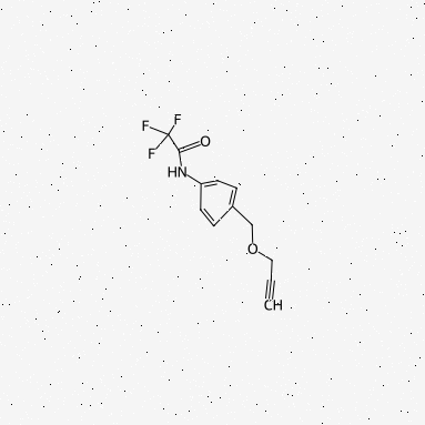 C#CCOCc1ccc(NC(=O)C(F)(F)F)cc1